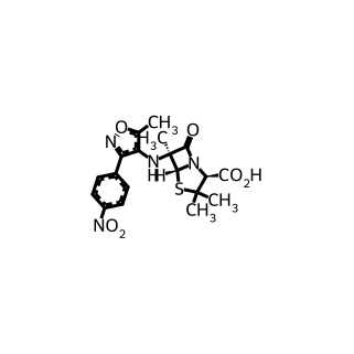 Cc1onc(-c2ccc([N+](=O)[O-])cc2)c1N[C@@]1(C)C(=O)N2[C@@H](C(=O)O)C(C)(C)S[C@@H]21